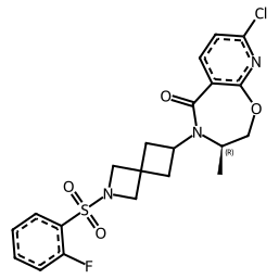 C[C@@H]1COc2nc(Cl)ccc2C(=O)N1C1CC2(C1)CN(S(=O)(=O)c1ccccc1F)C2